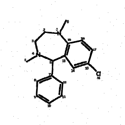 CN1CCN(C)C(c2ccccc2)c2cc(Cl)ccc21